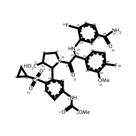 COC(=O)Nc1ccc(S(=O)(=O)C2CC2)c(C2C(C(=O)O)CCN2C(=O)[C@@H](Nc2cc(C(N)=O)ccc2F)c2ccc(F)c(OC)c2)c1